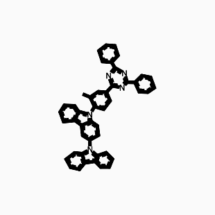 Cc1cc(-c2nc(-c3ccccc3)nc(-c3ccccc3)n2)ccc1-n1c2ccccc2c2cc(-n3c4ccccc4c4ccccc43)ccc21